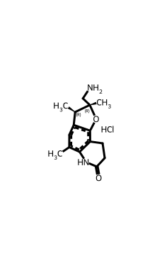 Cc1cc2c(c3c1NC(=O)CC3)O[C@@](C)(CN)[C@@H]2C.Cl